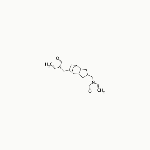 C=CN(C=O)CC1CC2C3CC(CN(C=C)C=O)C(C3)C2C1